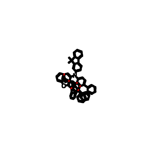 CC1(C)c2ccccc2-c2ccc(N(c3ccc4c(c3)C3(c5ccccc5-c5ccccc5-4)c4ccccc4-c4c3ccc3c4oc4ccccc43)c3ccccc3-c3ccc(-c4ccccc4)cc3)cc21